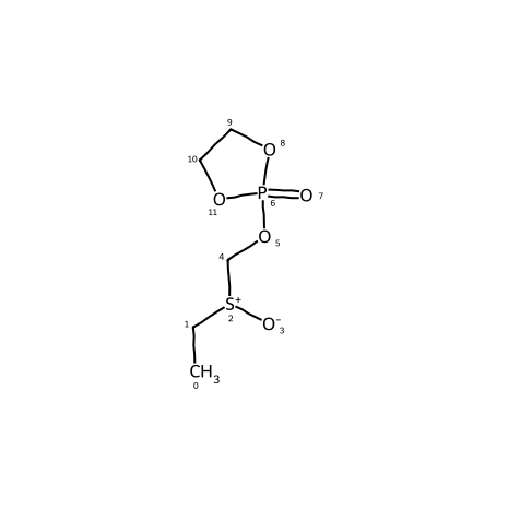 CC[S+]([O-])COP1(=O)OCCO1